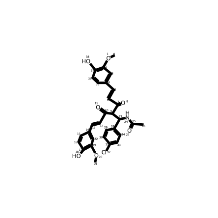 COc1cc(/C=C/C(=O)C(C(=O)/C=C/c2ccc(O)c(OC)c2)C(NC(C)=O)c2ccc(Cl)cc2)ccc1O